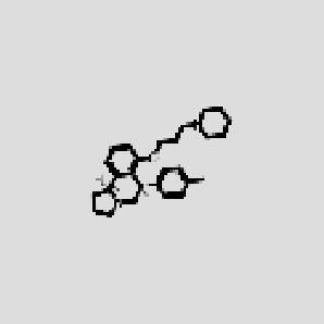 Cc1ccc([C@H]2CN3CCC[C@H]3c3cccc(OCCCN4CCCCC4)c32)cc1